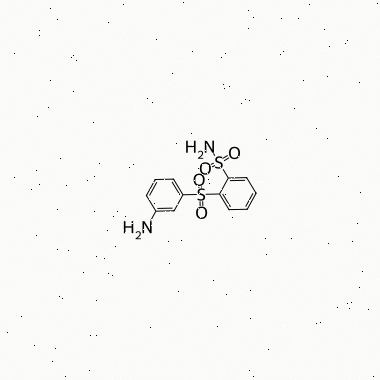 Nc1cccc(S(=O)(=O)c2ccccc2S(N)(=O)=O)c1